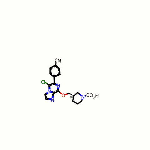 N#Cc1ccc(-c2nc(OC[C@@H]3CCCN(C(=O)O)C3)c3nccn3c2Cl)cc1